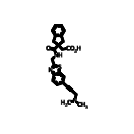 CN(C)CC#Cc1ccc2nc(CNC(=O)C3(CC(=O)O)Cc4ccccc4C3)sc2c1